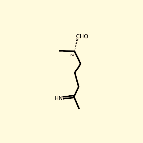 CC(=N)CCC[C@H](C)C=O